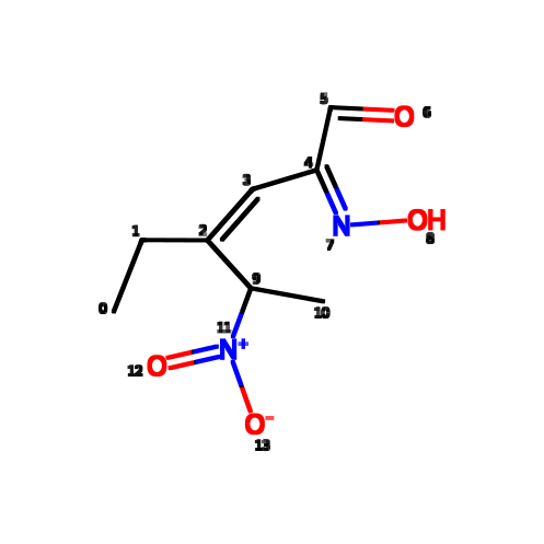 CCC(=CC(C=O)=NO)C(C)[N+](=O)[O-]